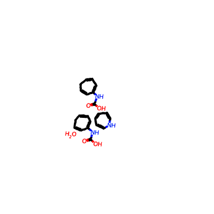 C1=CC=CNC=C1.O.O=C(O)NC1=CC=CCC=C1.O=C(O)NC1=CC=CCC=C1